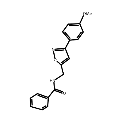 COc1ccc(-c2cc(CNC(=O)c3ccccc3)on2)cc1